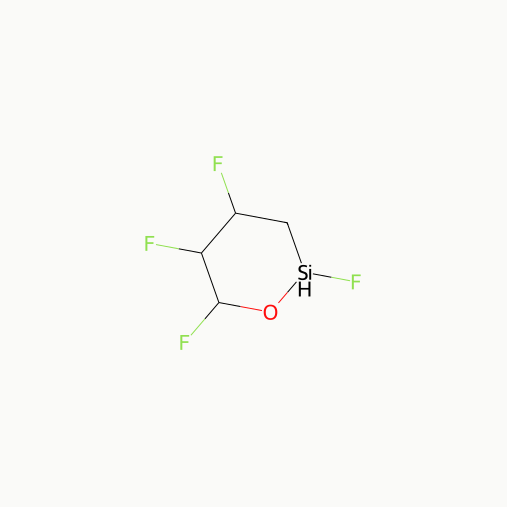 FC1C[SiH](F)OC(F)C1F